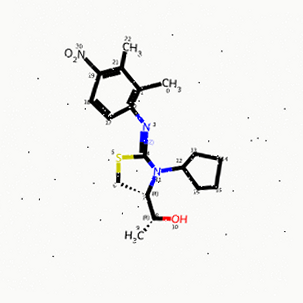 Cc1c(/N=C2\SC[C@@H]([C@@H](C)O)N2C2CCCC2)ccc([N+](=O)[O-])c1C